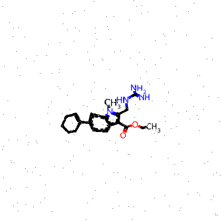 CCOC(=O)c1c(CNC(=N)N)n(C)c2cc(C3=CCCCC3)ccc12